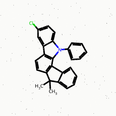 CC1(C)c2ccccc2-c2c1ccc1c3cc(Cl)ccc3n(-c3ccccc3)c21